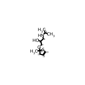 CC(C)NCC(O)COC1(C)CC=CS1